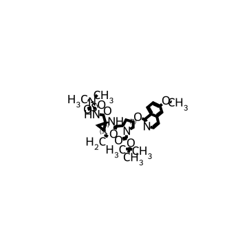 C=C[C@@H]1C[C@]1(NC(=O)C1C[C@@H](Oc2nccc3cc(OC)ccc23)CN1C(=O)OC(C)(C)C)C(=O)NS(=O)(=O)N(C)C